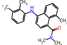 Cc1c(Nc2ccc(C(=O)N(C)C)c3c(C)cccc23)cccc1C(F)(F)F